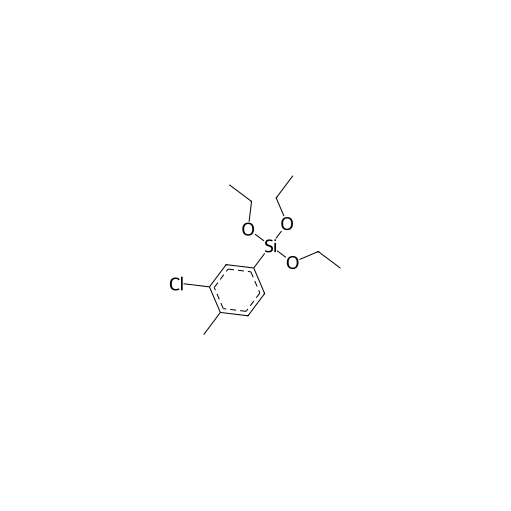 CCO[Si](OCC)(OCC)c1ccc(C)c(Cl)c1